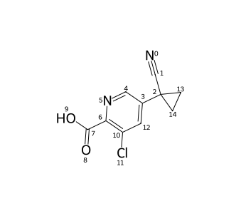 N#CC1(c2cnc(C(=O)O)c(Cl)c2)CC1